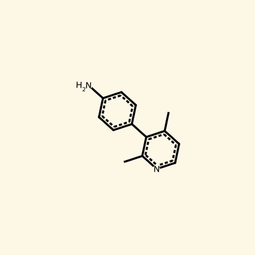 Cc1ccnc(C)c1-c1ccc(N)cc1